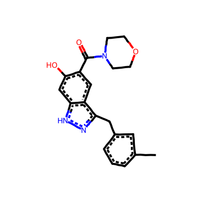 Cc1cccc(Cc2n[nH]c3cc(O)c(C(=O)N4CCOCC4)cc23)c1